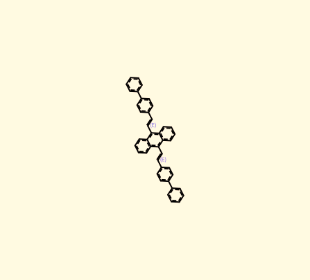 C(=C\c1c2ccccc2c(/C=C/c2ccc(-c3ccccc3)cc2)c2ccccc12)/c1ccc(-c2ccccc2)cc1